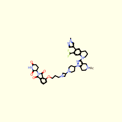 CC(=O)N1CCc2c(c(N3CCCc4cc(-c5cnn(C)c5)c(C(F)F)cc43)nn2C2CCN(C3CN(CCCOc4cccc5c4C(=O)N(C4CCC(=O)NC4=O)C5=O)C3)CC2)C1